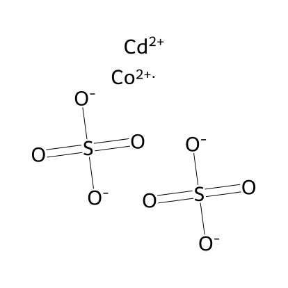 O=S(=O)([O-])[O-].O=S(=O)([O-])[O-].[Cd+2].[Co+2]